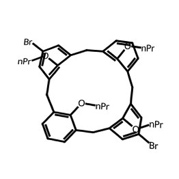 CCCOc1c2cccc1Cc1cc(Br)cc(c1OCCC)Cc1cccc(c1OCCC)Cc1cc(Br)cc(c1OCCC)C2